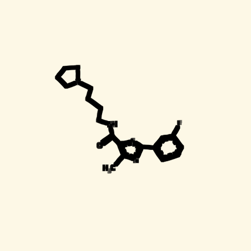 Cc1nc(-c2cccc(F)c2)sc1C(=O)NCCCCN1CCCC1